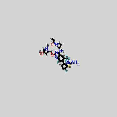 C=CC(=O)N1CC[C@@H](N(C)c2nc(OC[C@@H]3C[C@@H](OC)CN3C)nc3c(F)c(-c4ccc(F)c5sc(N)nc45)c(C(F)(F)F)cc23)C1